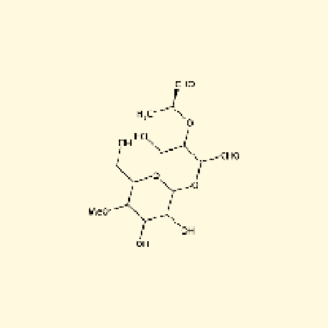 COC1C(CO)OC(OC(C=O)C(CO)O[C@@H](C)C=O)C(O)C1O